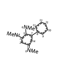 CNc1cc(NC)c(NC)c(-c2ccccc2)c1